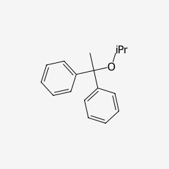 CC(C)OC(C)(c1ccccc1)c1ccccc1